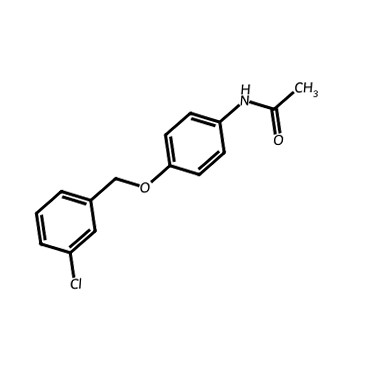 CC(=O)Nc1ccc(OCc2cccc(Cl)c2)cc1